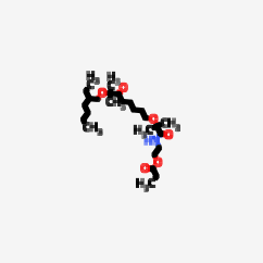 CCCCC(CC)COC(C)(C)C(=O)CCCCCOC(C)(C)C(=O)NCCOC(=O)CC